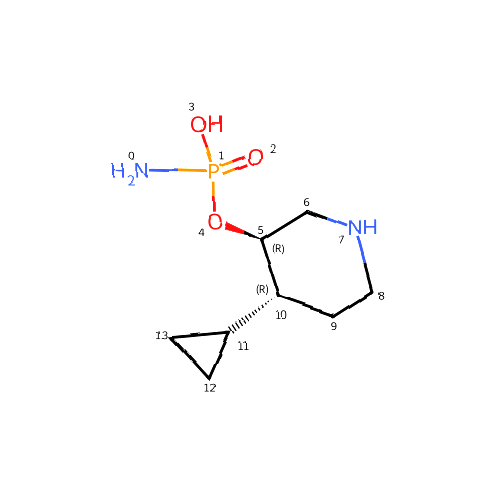 NP(=O)(O)O[C@H]1CNCC[C@@H]1C1CC1